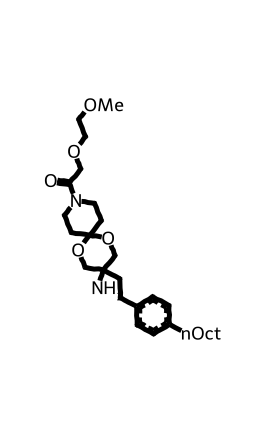 CCCCCCCCc1ccc(CCC2(N)COC3(CCN(C(=O)COCCOC)CC3)OC2)cc1